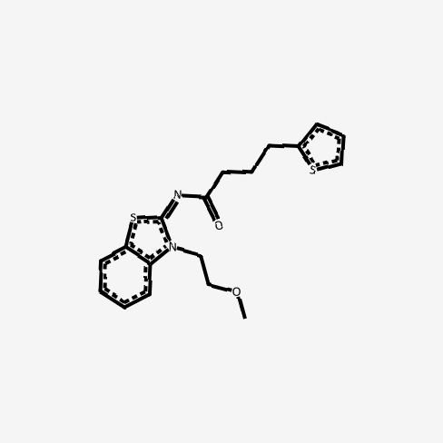 COCCn1c(=NC(=O)CCCc2cccs2)sc2ccccc21